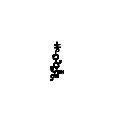 CCOC(=O)c1cnc2cc(-c3ccc(CO[Si](C)(C)C(C)(C)C)cc3)c(F)cc2c1O